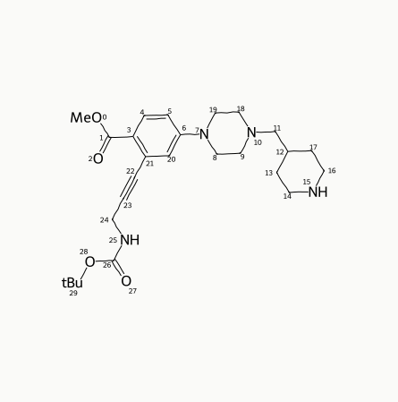 COC(=O)c1ccc(N2CCN(CC3CCNCC3)CC2)cc1C#CCNC(=O)OC(C)(C)C